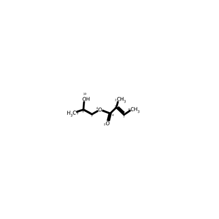 C/C=C(\C)C(=O)OCC(C)O